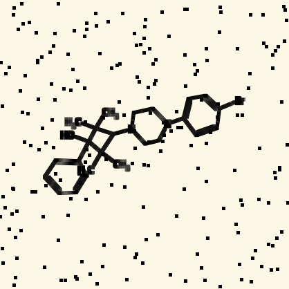 CC1(C)C(N2CCN(c3ccc(Br)cc3)CC2)C(C)(C)C1(O)c1ccccc1